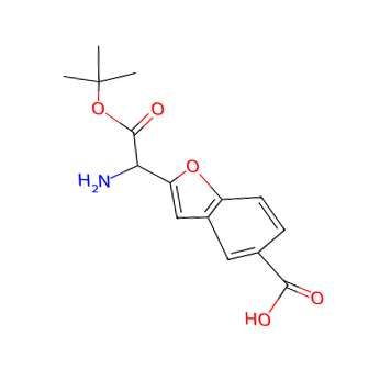 CC(C)(C)OC(=O)C(N)c1cc2cc(C(=O)O)ccc2o1